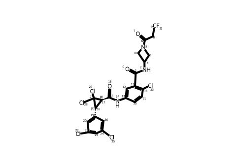 O=C(NC1CN(C(=O)CC(F)(F)F)C1)c1cc(NC(=O)[C@H]2[C@H](c3cc(Cl)cc(Cl)c3)C2(Cl)Cl)ccc1Cl